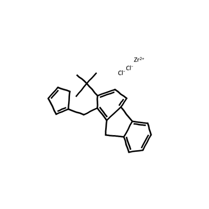 CC(C)(C)c1ccc2c(c1CC1=CC=CC1)Cc1ccccc1-2.[Cl-].[Cl-].[Zr+2]